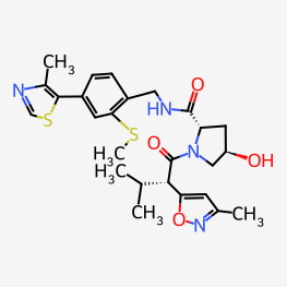 CSc1cc(-c2scnc2C)ccc1CNC(=O)[C@@H]1C[C@@H](O)CN1C(=O)[C@H](c1cc(C)no1)C(C)C